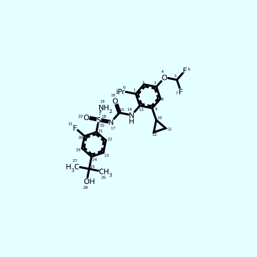 CC(C)c1cc(OC(F)F)cc(C2CC2)c1NC(=O)N=[S@](N)(=O)c1ccc(C(C)(C)O)cc1F